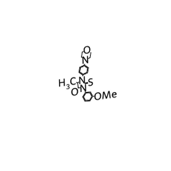 COc1cccc(N2C(=O)C(C)N(c3ccc(N4CCOCC4)cc3)C2=S)c1